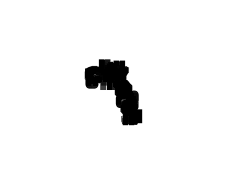 Cn1cnc2cc(Oc3ccc(Nc4ncnc5cnc(N6CCCOC6)nc45)cc3Cl)ccc21